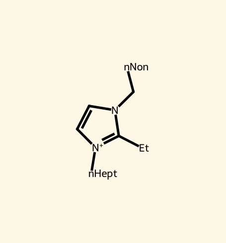 CCCCCCCCCCn1cc[n+](CCCCCCC)c1CC